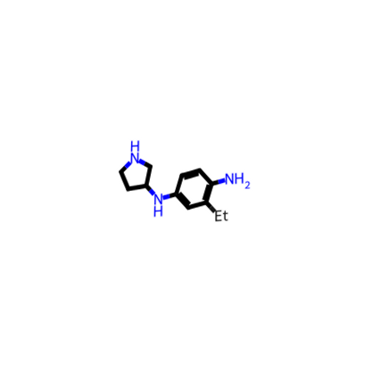 CCc1cc(NC2CCNC2)ccc1N